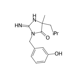 CC(C)CC1(C)NC(=N)N(Cc2cccc(O)c2)C1=O